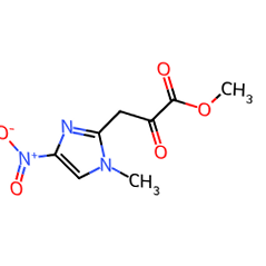 COC(=O)C(=O)Cc1nc([N+](=O)[O-])cn1C